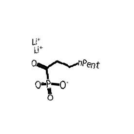 CCCCCCCC(=O)P(=O)([O-])[O-].[Li+].[Li+]